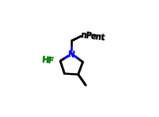 CCCCCCN1CCC(C)C1.F